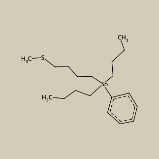 CCC[CH2][Sn]([CH2]CCC)([CH2]CCCSC)[c]1ccccc1